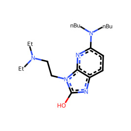 CCCCN(CCCC)c1ccc2nc(O)n(CCN(CC)CC)c2n1